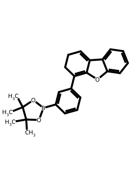 CC1(C)OB(c2cccc(C3=c4oc5ccccc5c4=CCC3)c2)OC1(C)C